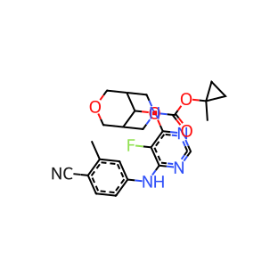 Cc1cc(Nc2ncnc(OC3C4COCC3CN(C(=O)OC3(C)CC3)C4)c2F)ccc1C#N